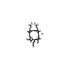 CCC1=C(C)c2nc1cc1[nH]c(cc3nc(cc4[nH]c(c2C=CC#N)c(CC)c4C)C(C)=C3CCC(=O)OC)c(CCC(=O)OC)c1C.[Ni]